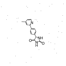 Cc1ccnc(-c2ccc(C3NC(=O)NC3=O)cc2)c1